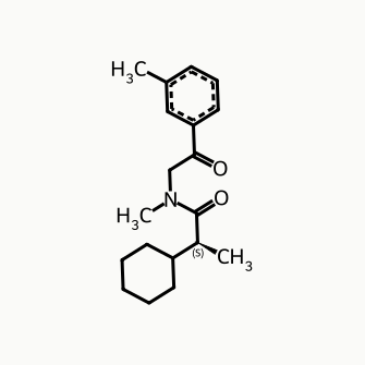 Cc1cccc(C(=O)CN(C)C(=O)[C@@H](C)C2CCCCC2)c1